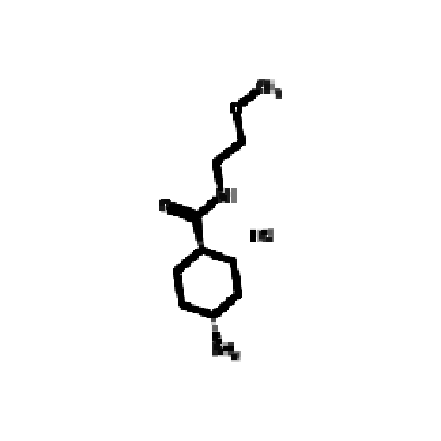 COCCNC(=O)[C@H]1CC[C@H](N)CC1.Cl